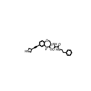 CN1C(=O)[C@@H](NC(=O)C(=O)NCCc2ccccc2)COc2ccc(C#CC3CNC3)cc21